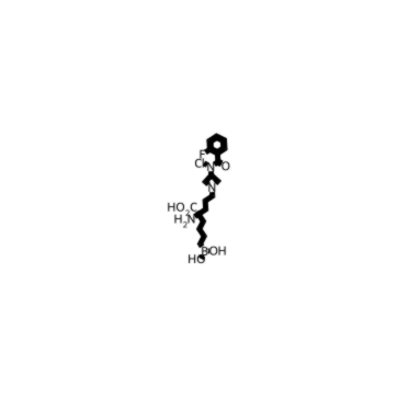 NC(CCCCB(O)O)(CCCN1CC(N(Cl)C(=O)c2ccccc2F)C1)C(=O)O